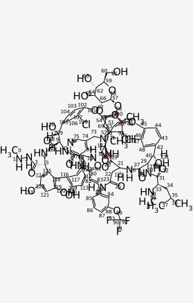 CNNC(=O)[C@@H]1NC(=O)[C@H]2NC(=O)[C@H](NC(=O)[C@@H]3NC(=O)[C@H](CC(N)=O)NC(=O)[C@H](NC(=O)[C@@H](CC(C)C)NC)[C@H](O)c4ccc(c(Cl)c4)Oc4cc3cc(c4O[C@@H]3O[C@H](CO)[C@@H](O)[C@H](O)[C@H]3O[C@H]3C[C@](C)(NCc4cncc(NC(=O)/C=C/c5cccc(OC(F)(F)F)c5)c4)[C@H](O)[C@H](C)O3)Oc3ccc(cc3Cl)[C@H]2O)c2ccc(O)c(c2)-c2c(O)cc(O)cc21